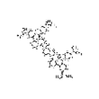 CC(C)c1ccc(N(c2ccc(C(C)C)cc2)c2cc3oc4c(ccc5c4oc4cc(N(c6ccc(C(C)C)cc6)c6ccc(C(C)C)cc6)c6ccccc6c45)c3c3ccccc23)cc1